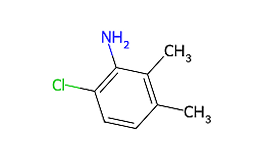 Cc1ccc(Cl)c(N)c1C